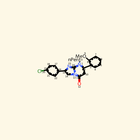 CCCCCn1c(-c2ccccc2OC)cc(=O)n2cc(-c3ccc(Cl)cc3)nc12